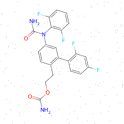 NC(=O)OCCc1ccc(N(C(N)=O)c2c(F)cccc2F)cc1-c1ccc(F)cc1F